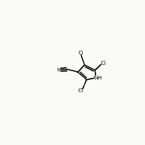 N#Cc1c(Cl)[nH]c(Cl)c1Cl